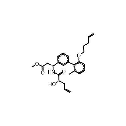 C=CCCCOc1cccc(C)c1-c1cccc([C@H](CC(=O)OC)NC(=O)[C@H](O)CC=C)c1